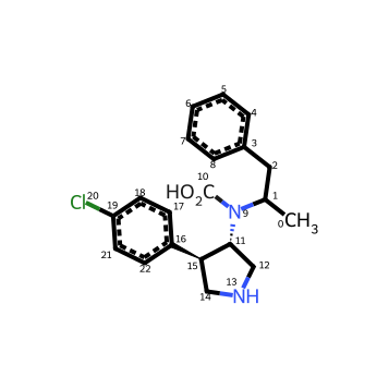 CC(Cc1ccccc1)N(C(=O)O)[C@@H]1CNC[C@H]1c1ccc(Cl)cc1